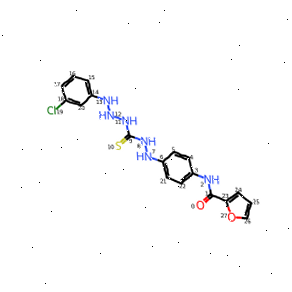 O=C(Nc1ccc(NNC(=S)NNNc2cccc(Cl)c2)cc1)c1ccco1